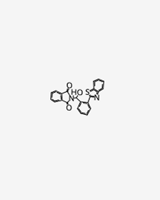 O=C1c2ccccc2C(=O)N1C(O)c1ccccc1-c1nc2ccccc2s1